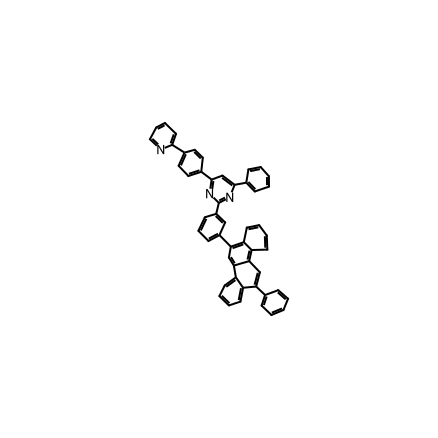 c1ccc(-c2cc(-c3ccc(-c4ccccn4)cc3)nc(-c3cccc(-c4cc5c6ccccc6c(-c6ccccc6)cc5c5ccccc45)c3)n2)cc1